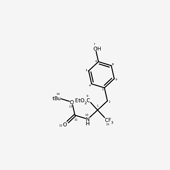 CCOC(=O)C(Cc1ccc(O)cc1)(NC(=O)OC(C)(C)C)C(F)(F)F